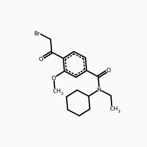 CCN(C(=O)c1ccc(C(=O)CBr)c(OC)c1)C1CCCCC1